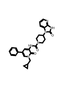 O=C(Nc1cc(-c2ccccc2)cn(CC2CC2)c1=O)N1CCC(n2c(=O)[nH]c3ncccc32)CC1